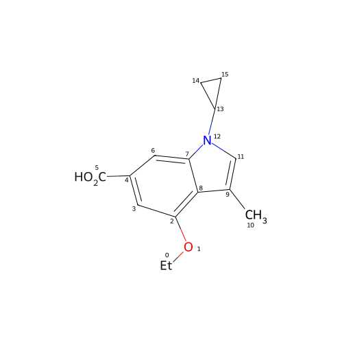 CCOc1cc(C(=O)O)cc2c1c(C)cn2C1CC1